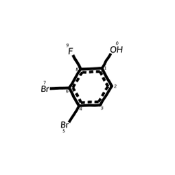 Oc1ccc(Br)c(Br)c1F